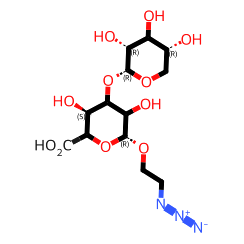 [N-]=[N+]=NCCO[C@@H]1OC(C(=O)O)[C@@H](O)C(O[C@H]2OC[C@@H](O)C(O)[C@H]2O)C1O